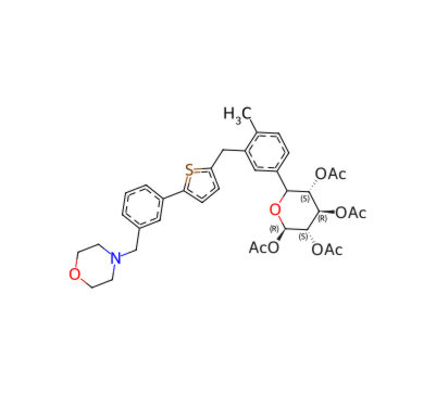 CC(=O)O[C@H]1OC(c2ccc(C)c(Cc3ccc(-c4cccc(CN5CCOCC5)c4)s3)c2)[C@H](OC(C)=O)[C@@H](OC(C)=O)[C@@H]1OC(C)=O